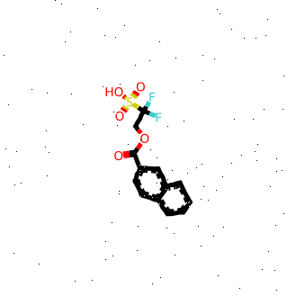 O=C(OCC(F)(F)S(=O)(=O)O)c1ccc2ccccc2c1